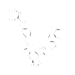 Cc1c(C(=O)O)ccc2c1CC[C@@H]2NC(=O)c1cc(C(=O)NCc2cccc(CN/C(N)=N/N)c2)nc2ncnn12